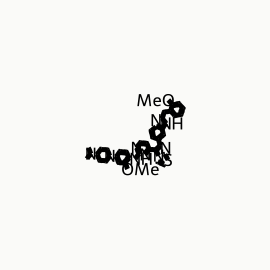 COc1ccccc1Cc1nc2ccc(-c3nc4sccn4c3-c3ccnc(Nc4ccc(N5CCC(N(C)C)CC5)cc4OC)n3)cc2[nH]1